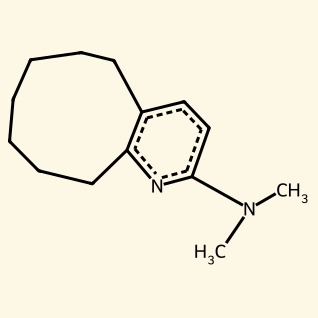 CN(C)c1ccc2c(n1)CCCCCCC2